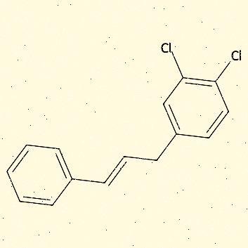 Clc1ccc(CC=Cc2ccccc2)cc1Cl